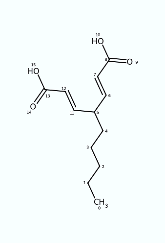 CCCCCC(C=CC(=O)O)C=CC(=O)O